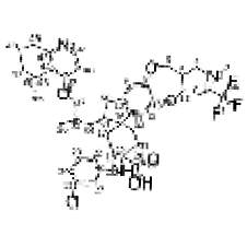 CC(N(C)CC1COc2cc3c(cc2OC1)C1(CCC(Nc2cccc(Cl)c2)(C(=O)O)CC1)[C@@H](C[C@@H](C)COc1ccnc2c1[C@H](C)CCC2)C3)C(F)(F)F